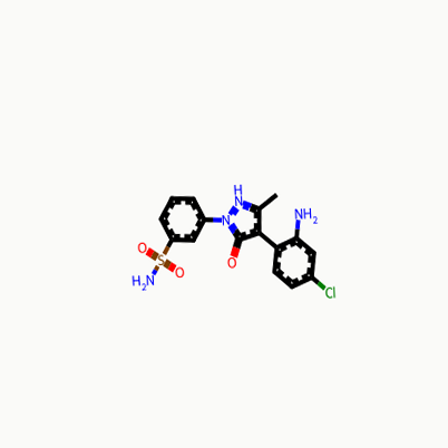 Cc1[nH]n(-c2cccc(S(N)(=O)=O)c2)c(=O)c1-c1ccc(Cl)cc1N